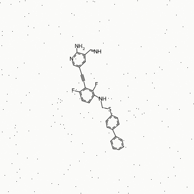 N=Cc1cc(C#Cc2c(F)ccc(NCSc3ccc(-c4ccccc4)cc3)c2F)cnc1N